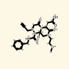 C#CCN1CC(=O)N2[C@@H](CC(=O)O)C(=O)N(CCOC)C[C@@H]2N1C(=O)NCc1ccccc1